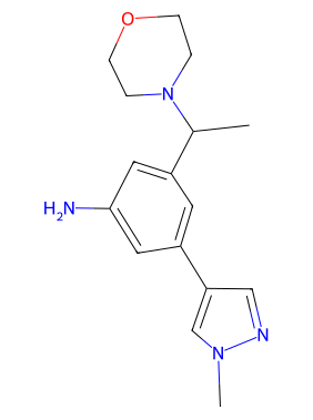 CC(c1cc(N)cc(-c2cnn(C)c2)c1)N1CCOCC1